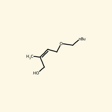 CCCCCOCC=C(C)CO